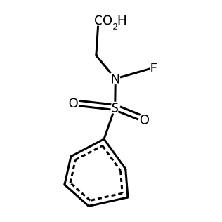 O=C(O)CN(F)S(=O)(=O)c1ccccc1